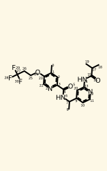 Cc1cc(C(=O)NC(C)c2ccnc(NC(=O)C(C)C)c2)ncc1OCCC(F)(F)F